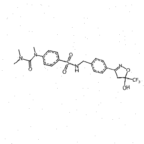 CN(C)C(=O)N(C)c1ccc(S(=O)(=O)NCc2ccc(C3=NOC(O)(C(F)(F)F)C3)cc2)cc1